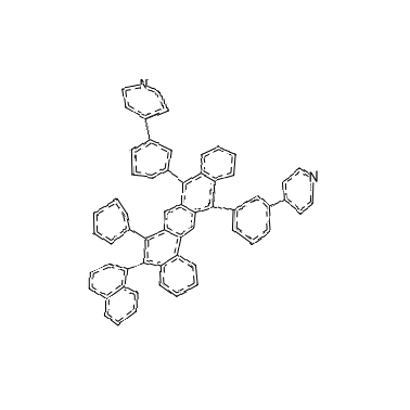 c1ccc(-c2c(-c3cccc4ccccc34)c3ccccc3c3cc4c(-c5cccc(-c6ccncc6)c5)c5ccccc5c(-c5cccc(-c6ccncc6)c5)c4cc23)cc1